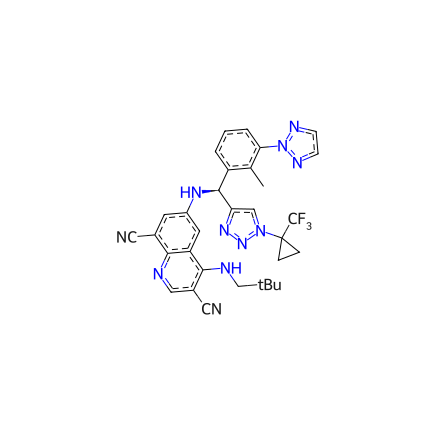 Cc1c([C@H](Nc2cc(C#N)c3ncc(C#N)c(NCC(C)(C)C)c3c2)c2cn(C3(C(F)(F)F)CC3)nn2)cccc1-n1nccn1